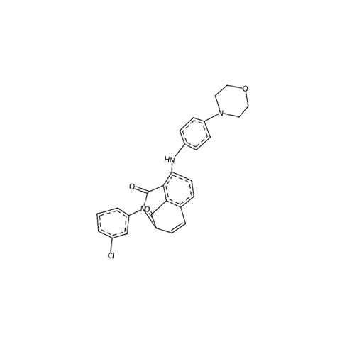 O=C1c2c3ccc(Nc4ccc(N5CCOCC5)cc4)c2C(=O)N(c2cccc(Cl)c2)C1C=C3